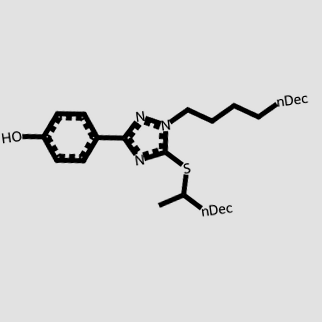 CCCCCCCCCCCCCCn1nc(-c2ccc(O)cc2)nc1SC(C)CCCCCCCCCC